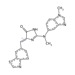 CN(C1=N/C(=C\c2ccc3ncsc3c2)C(=O)N1)c1ccc2c(c1)ncn2C